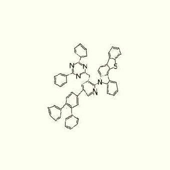 c1ccc(-c2nc(Cc3cc(-c4ccc(-c5ccccc5)c(-c5ccccc5)c4)cnc3-n3c4ccccc4c4c5sc6ccccc6c5ccc43)nc(-c3ccccc3)n2)cc1